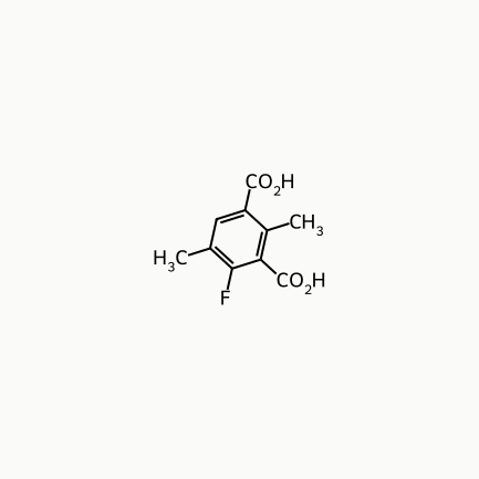 Cc1cc(C(=O)O)c(C)c(C(=O)O)c1F